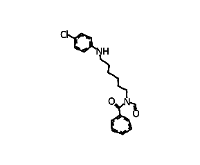 O=CN(CCCCCCNc1ccc(Cl)cc1)C(=O)c1ccccc1